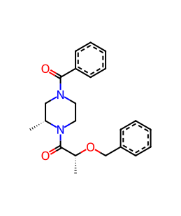 C[C@@H]1CN(C(=O)c2ccccc2)CCN1C(=O)[C@@H](C)OCc1ccccc1